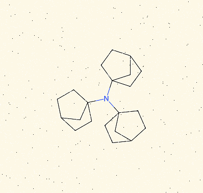 C1CC2(N(C34CCC(CC3)C4)C34CCC(CC3)C4)CCC1C2